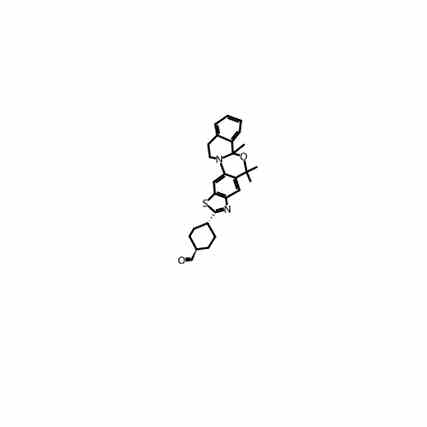 CC1(C)OC2(C)c3ccccc3CCN2c2cc3sc([C@H]4CC[C@H](C=O)CC4)nc3cc21